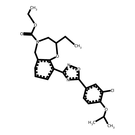 CCOC(=O)N1Cc2cccc(-c3noc(-c4ccc(OC(C)C)c(Cl)c4)n3)c2OC(CC)C1